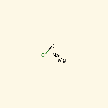 [C]Cl.[Mg].[Na]